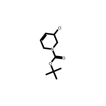 CC(C)(C)OC(=O)N1CC=CC(Cl)C1